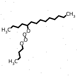 CCCCCCCCCC(CCCC)OOOOCCCC